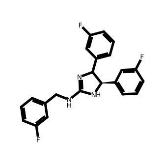 Fc1cccc(CNC2=NC(c3cccc(F)c3)[C@@H](c3cccc(F)c3)N2)c1